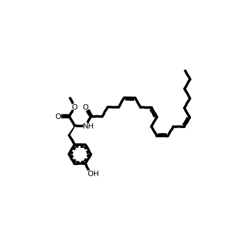 CCCCC/C=C\C/C=C\C/C=C\C/C=C\CCCC(=O)N[C@@H](Cc1ccc(O)cc1)C(=O)OC